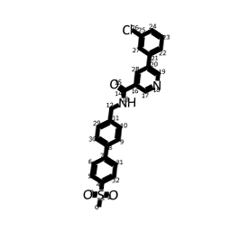 CS(=O)(=O)c1ccc(-c2ccc(CNC(=O)c3cncc(-c4cccc(Cl)c4)c3)cc2)cc1